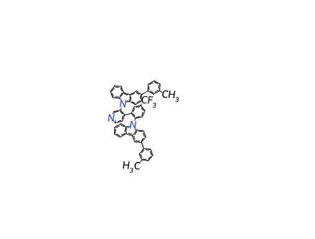 Cc1cccc(-c2ccc3c(c2)c2ccccc2n3-c2ccc(C(F)(F)F)cc2-c2ccncc2-n2c3ccccc3c3cc(-c4cccc(C)c4)ccc32)c1